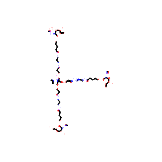 CC(=O)NC1C(OCCCCC(=O)NCCCNC(=O)CCOCC(COCCC(=O)NCCCNC(=O)CCCCOC2OC(CO)C(O)C(O)C2NC(C)=O)(COCCC(=O)NCCCNC(=O)CCCCOC2OC(CO)C(O)C(O)C2NC(C)=O)NC(C)C)OC(CO)C(O)C1O